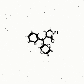 O=C1NCSC1C(C1=CC=CCC1)C1=COC=CO1